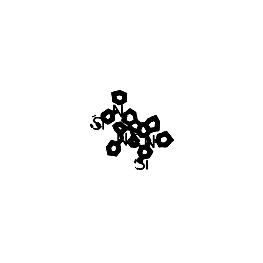 C[Si](C)(C)c1ccc(N(C2=CC3C(C=C2)c2c(cc(N(c4ccccc4)c4ccc([Si](C)(C)C)cc4)c4ccccc24)C32c3ccccc3N(c3ccccc3)c3ccccc32)c2ccccc2)cc1